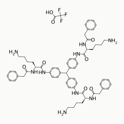 NCCCC[C@H](NC(=O)Cc1ccccc1)C(=O)Nc1ccc(C(c2ccc(NC(=O)[C@H](CCCCN)NC(=O)Cc3ccccc3)cc2)c2ccc(NC(=O)[C@H](CCCCN)NC(=O)Cc3ccccc3)cc2)cc1.O=C(O)C(F)(F)F